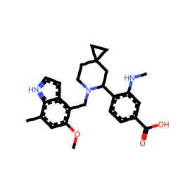 CNc1cc(C(=O)O)ccc1C1CC2(CCN1Cc1c(OC)cc(C)c3[nH]ccc13)CC2